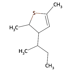 CCC(C)C1C=C(C)SC1C